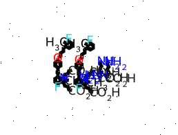 Cc1c(F)cccc1CCCCOc1ccc(C#Cc2ccc(F)c3c(CCCC(=O)O)c(C)n(CCCC(=O)O)c23)cc1.Cc1c(F)cccc1CCCCOc1ccc(C#Cc2ccc(F)c3c(CCCC(=O)O)c(C)n(CCCC(=O)O)c23)cc1.NCCCCC(N)C(=O)O.NCCCCC(N)C(=O)O